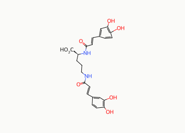 O=C(/C=C/c1ccc(O)c(O)c1)NCCC[C@H](NC(=O)/C=C/c1ccc(O)c(O)c1)C(=O)O